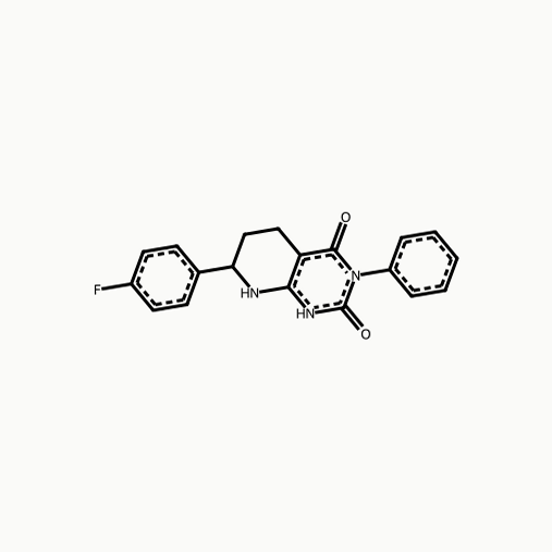 O=c1[nH]c2c(c(=O)n1-c1ccccc1)CCC(c1ccc(F)cc1)N2